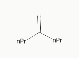 [C]=C(CCC)CCC